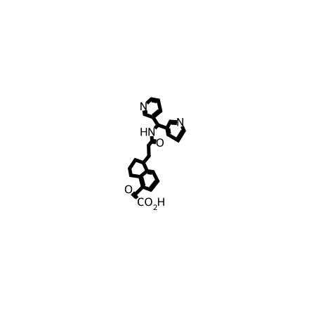 O=C(CCC1CCCc2c(C(=O)C(=O)O)cccc21)NC(c1cccnc1)c1cccnc1